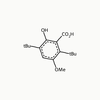 COc1cc(C(C)(C)C)c(O)c(C(=O)O)c1C(C)(C)C